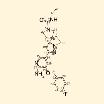 CCNC(=O)N1CC[C@@]2(CCn3nc(-c4cnc(N)c(OCc5ccc(F)cc5)c4)cc32)C1